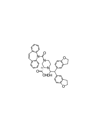 O=C(O)[C@@H]1CN(C(=O)N2c3ccccc3C=Cc3ccccc32)CCN1C(O)C(c1ccc2c(c1)CCO2)c1ccc2c(c1)CCO2